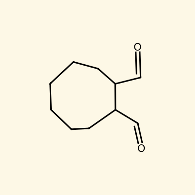 O=CC1CCCCCCC1C=O